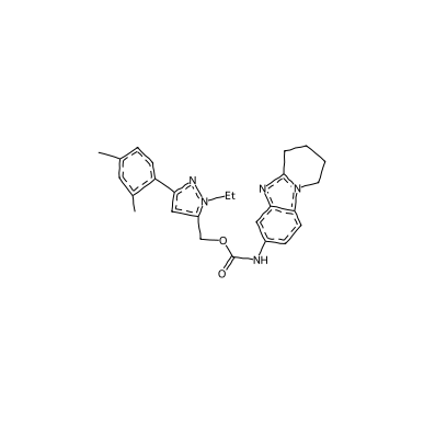 CCn1nc(-c2ccc(C)cc2C)cc1COC(=O)Nc1ccc2c(c1)nc1n2CCCC1